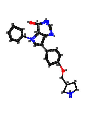 O=c1[nH]cnc2c(-c3ccc(OCC4CCNC4)cc3)cn(-c3ccccc3)c12